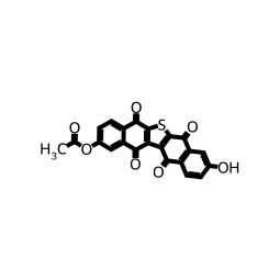 CC(=O)Oc1ccc2c(=O)c3sc4c(=O)c5cc(O)ccc5c(=O)c4c3c(=O)c2c1